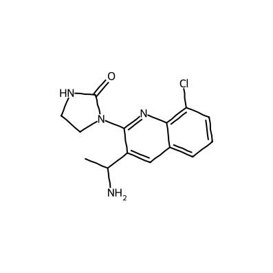 CC(N)c1cc2cccc(Cl)c2nc1N1CCNC1=O